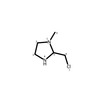 CN1CCNC1CCl